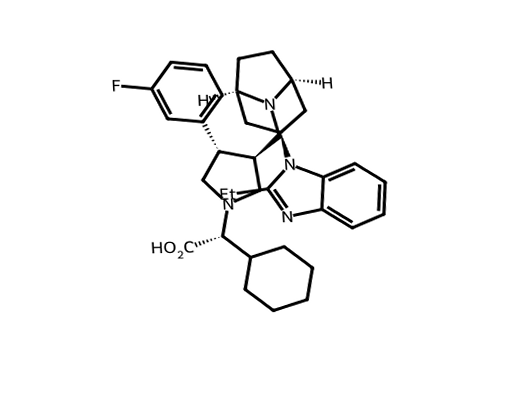 CCc1nc2ccccc2n1[C@H]1C[C@H]2CC[C@@H](C1)N2C[C@H]1CN([C@@H](C(=O)O)C2CCCCC2)C[C@@H]1c1cccc(F)c1